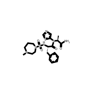 C[C@@H](C(N)=O)N(C(=O)[C@H](Cc1ccccc1)NS(=O)(=O)N1CCCN(C)CC1)c1cncs1